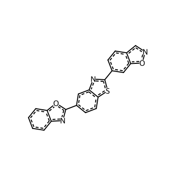 c1ccc2oc(-c3ccc4sc(-c5ccc6cnoc6c5)nc4c3)nc2c1